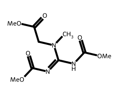 COC(=O)CN(C)/C(=N\C(=O)OC)NC(=O)OC